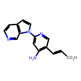 Nc1cc(-n2ccc3ccncc32)ncc1/C=C/C(=O)O